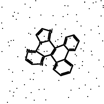 c1ccc2c(c1)c1ccccc1c1c2c2nccnc2n2ccnc12